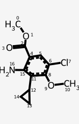 COC(=O)c1cc(Cl)c(OC)c(C2CC2)c1N